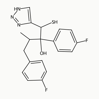 CC(Cc1ccc(F)cc1)C(O)(c1ccc(F)cc1)C(S)c1c[nH]nn1